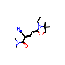 CCN1/C(=C/C=C(\C#N)C(=O)N(C)C)OCC1(C)C